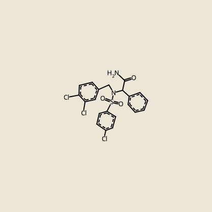 NC(=O)C(c1ccccc1)N(Cc1ccc(Cl)c(Cl)c1)S(=O)(=O)c1ccc(Cl)cc1